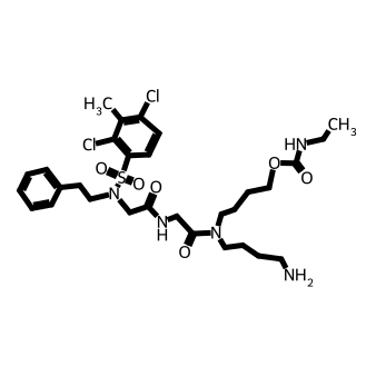 CCNC(=O)OCCCCN(CCCCN)C(=O)CNC(=O)CN(CCc1ccccc1)S(=O)(=O)c1ccc(Cl)c(C)c1Cl